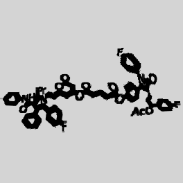 CC(=O)OC(CC[C@H]1C(=O)N(c2ccc(F)cc2)[C@@H]1c1ccc(OC(=O)CCCC(=O)OC2CC(=O)OC(CCn3c(-c4ccc(F)cc4)c(-c4ccccc4)c(C(=O)Nc4ccccc4)c3C(C)C)C2)cc1)c1ccc(F)cc1